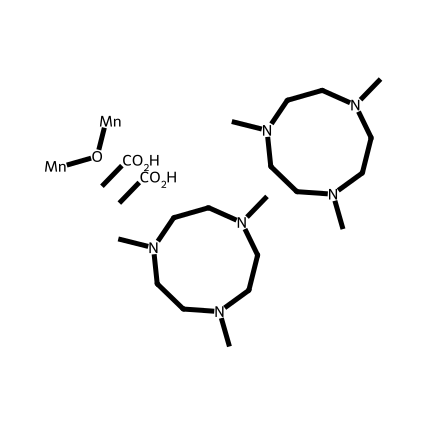 CC(=O)O.CC(=O)O.CN1CCN(C)CCN(C)CC1.CN1CCN(C)CCN(C)CC1.[Mn][O][Mn]